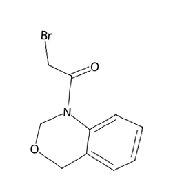 O=C(CBr)N1COCc2ccccc21